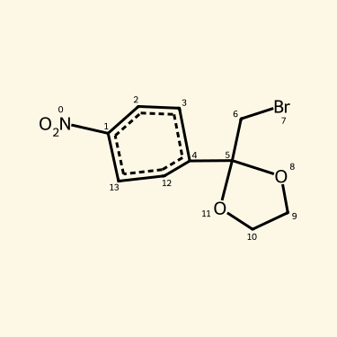 O=[N+]([O-])c1ccc(C2(CBr)OCCO2)cc1